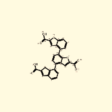 O=C(O)C1=Cc2cccc(-c3ccc(-c4cccc5sc(C(=O)O)cc45)c4oc(C(=O)O)cc34)c2C1